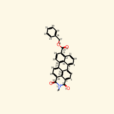 CN1C(=O)c2ccc3c4cccc5c(C(=O)OCc6ccccc6)ccc(c6ccc(c2c36)C1=O)c54